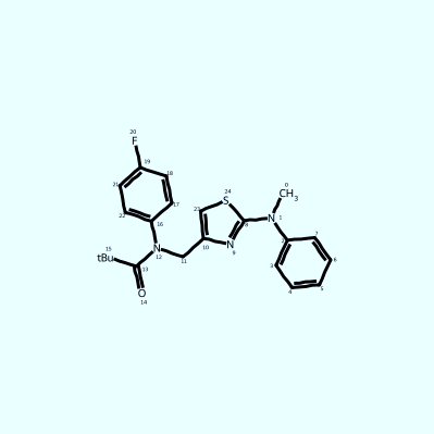 CN(c1ccccc1)c1nc(CN(C(=O)C(C)(C)C)c2ccc(F)cc2)cs1